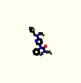 C=CCCN(C)c1ccc(N(C(=O)N(C)C)c2ccccc2)cn1